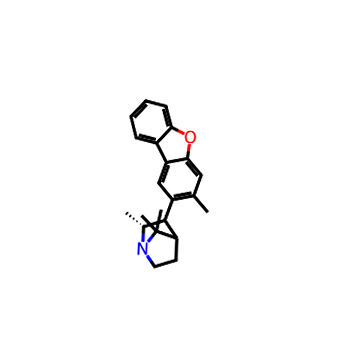 Cc1cc2oc3ccccc3c2cc1C1C2CCN([C@@H]1C)C2(C)C